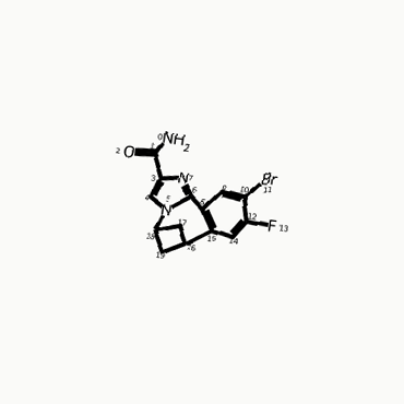 NC(=O)c1cn2c(n1)-c1cc(Br)c(F)cc1C1CC2C1